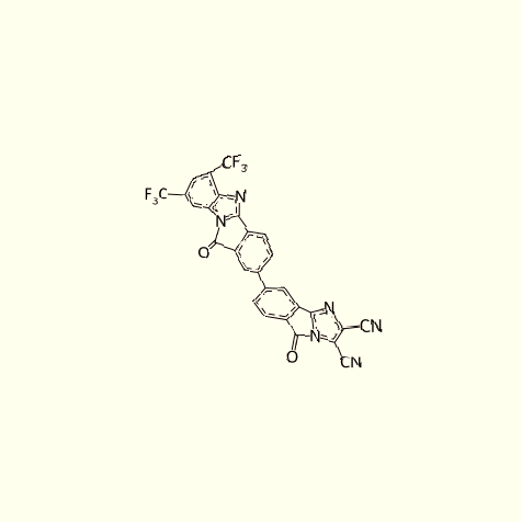 N#Cc1nc2n(c1C#N)C(=O)c1ccc(-c3ccc4c(c3)C(=O)n3c-4nc4c(C(F)(F)F)cc(C(F)(F)F)cc43)cc1-2